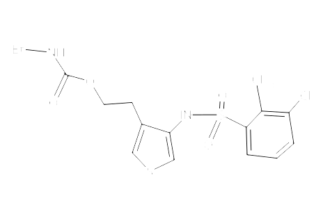 CCNC(=O)OCCc1cscc1NS(=O)(=O)c1cccc(Cl)c1C